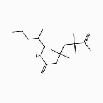 C=C(CC(C)(C)CC(C)(C)C(=C)C)NCC(C)CCC